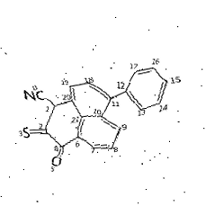 N#CC1C(=S)C(=O)c2cccc3c(-c4ccccc4)ccc1c23